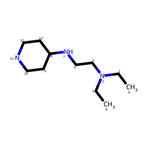 CCN(CC)CCNC1CC[N]CC1